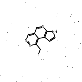 ICc1nncc2cnc3[nH]ccc3c12